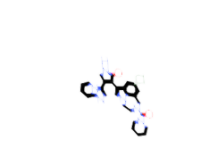 O=C1NCC(c2cnc3ccccn23)=C1c1cn2c3c(cc(Cl)cc13)CN(C(=O)N1CCCCC1)CC2